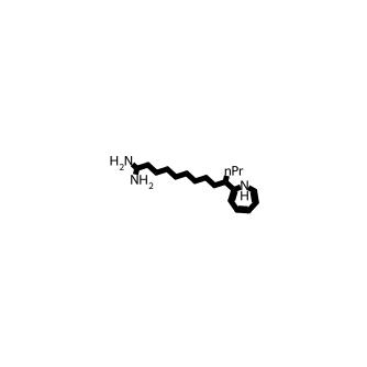 CCCC(CCCCCCCCC(N)N)C1=CC=CC=CN1